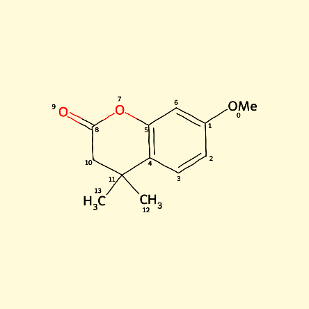 COc1ccc2c(c1)OC(=O)CC2(C)C